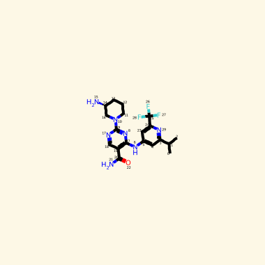 CC(C)c1cc(Nc2nc(N3CCC[C@H](N)C3)ncc2C(N)=O)cc(C(F)(F)F)n1